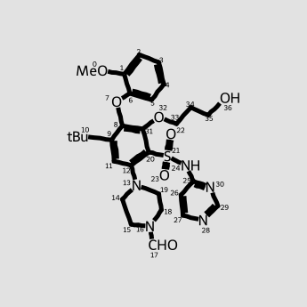 COc1ccccc1Oc1c(C(C)(C)C)cc(N2CCN(C=O)CC2)c(S(=O)(=O)Nc2ccncn2)c1OCCCO